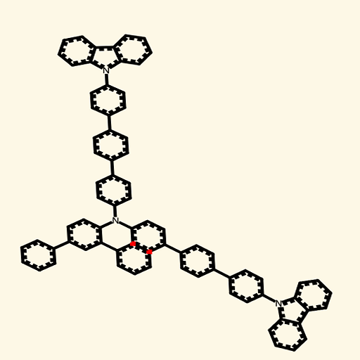 c1ccc(-c2ccc(N(c3ccc(-c4ccc(-c5ccc(-n6c7ccccc7c7ccccc76)cc5)cc4)cc3)c3ccc(-c4ccc(-c5ccc(-n6c7ccccc7c7ccccc76)cc5)cc4)cc3)c(-c3ccccc3)c2)cc1